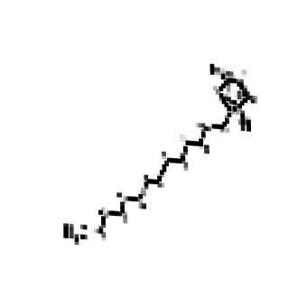 CCCCCCCCCCCCCC[C@H]1C[C@@H]2C=C[C@H]1C2